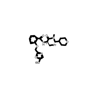 CC(C)C[C@@H](NC(=O)c1ccccc1OCc1ncc(C(C)(C)C)o1)C(=O)N(C)CC1CCOCC1